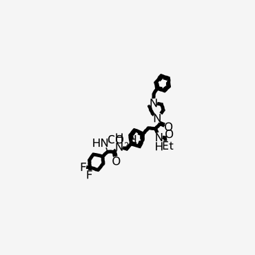 CCC(=O)NC(Cc1ccc(CNC(=O)[C@@H](NC(=O)O)C2CCC(F)(F)CC2)cc1)C(=O)N1CCN(Cc2ccccc2)CC1